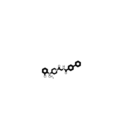 CN(c1ccccc1Cl)C1CCN(C(=O)CNC(=O)c2ccc(-c3ccccc3)cc2)CC1